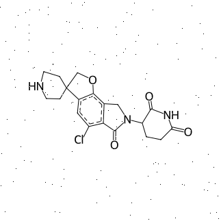 O=C1CCC(N2Cc3c4c(cc(Cl)c3C2=O)C2(CCNCC2)CO4)C(=O)N1